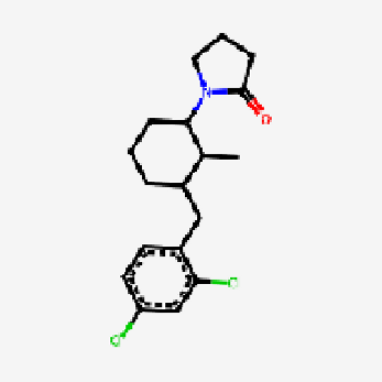 CC1C(Cc2ccc(Cl)cc2Cl)CCCC1N1CCCC1=O